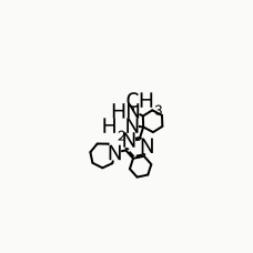 CNC1CCCCC1(N)c1nc2c(c(N3CCCCCC3)n1)CCCC2